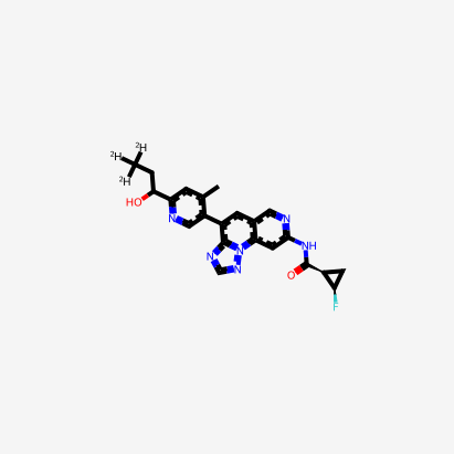 [2H]C([2H])([2H])CC(O)c1cc(C)c(-c2cc3cnc(NC(=O)[C@H]4C[C@H]4F)cc3n3ncnc23)cn1